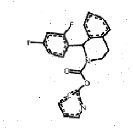 O=C(Oc1ccccn1)N1CCc2ccccc2C1c1ccc(F)cc1F